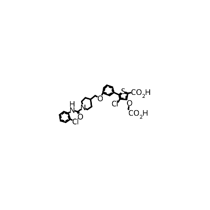 O=C(O)COc1c(C(=O)O)sc(-c2cccc(OCC3CCN(C(=O)Nc4ccccc4Cl)CC3)c2)c1Cl